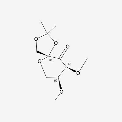 CO[C@H]1CO[C@@]2(COC(C)(C)O2)C(=O)[C@H]1OC